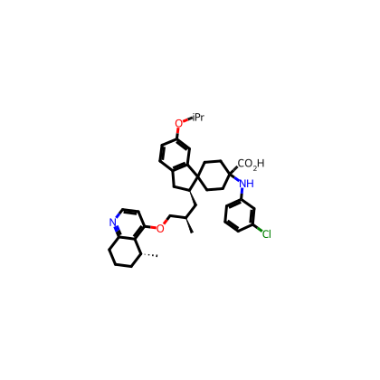 CC(C)Oc1ccc2c(c1)C1(CCC(Nc3cccc(Cl)c3)(C(=O)O)CC1)[C@@H](C[C@@H](C)COc1ccnc3c1[C@H](C)CCC3)C2